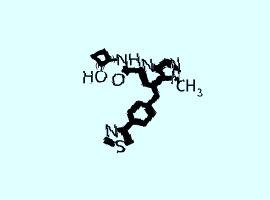 Cn1ncc2nc(C(=O)N[C@@H]3CC[C@H]3O)cc(Cc3ccc(-c4cscn4)cc3)c21